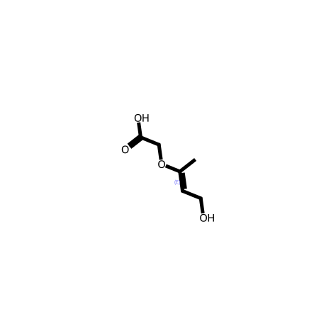 C/C(=C\CO)OCC(=O)O